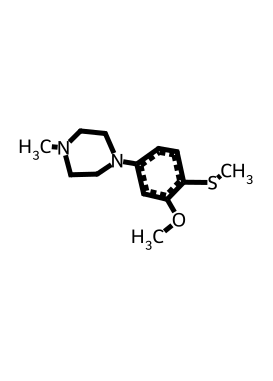 COc1cc(N2CCN(C)CC2)ccc1SC